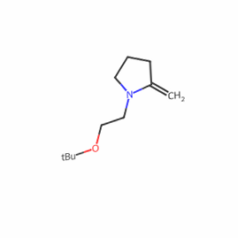 C=C1CCCN1CCOC(C)(C)C